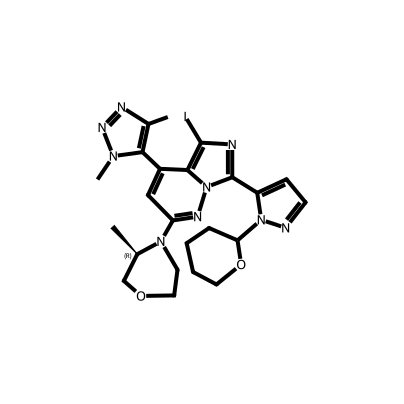 Cc1nnn(C)c1-c1cc(N2CCOC[C@H]2C)nn2c(-c3ccnn3C3CCCCO3)nc(I)c12